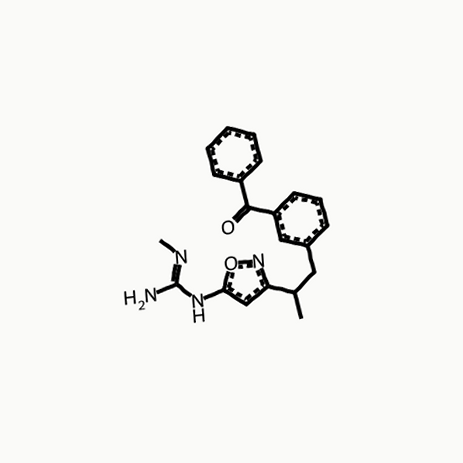 CN=C(N)Nc1cc(C(C)Cc2cccc(C(=O)c3ccccc3)c2)no1